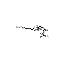 CCCCCCCCCCCCCCCCCC(=O)Oc1nc2nc(CC(CC)COC(=O)[C@@H](N)C(C)C)ncc2[nH]1